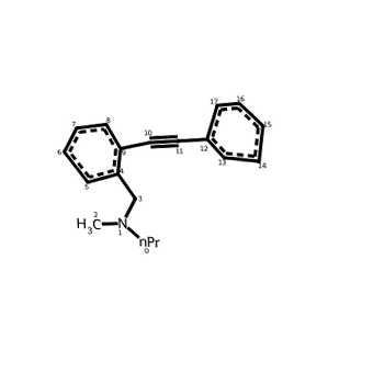 CCCN(C)Cc1ccccc1C#Cc1ccccc1